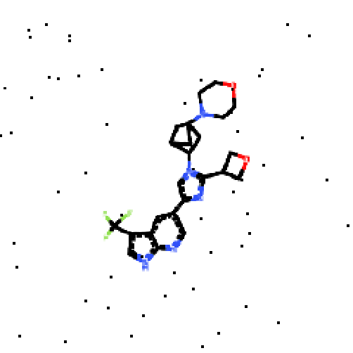 FC(F)(F)c1c[nH]c2ncc(-c3cn(C4CC5(N6CCOCC6)CC4C5)c(C4COC4)n3)cc12